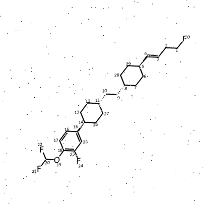 FCCC=C[C@H]1CC[C@H](CC[C@H]2CC[C@H](c3ccc(OC(F)F)c(F)c3)CC2)CC1